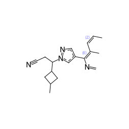 C=N/C(=C(C)/C=C\C)c1cnn(C(CC#N)C2CC(C)C2)c1